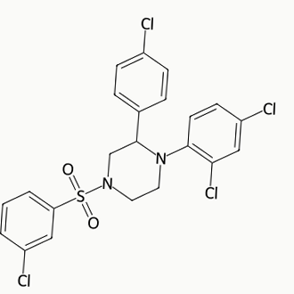 O=S(=O)(c1cccc(Cl)c1)N1CCN(c2ccc(Cl)cc2Cl)C(c2ccc(Cl)cc2)C1